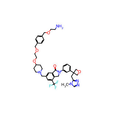 Cn1cnnc1CC1(c2cccc(N3Cc4c(cc(CN5CCC(OCCOCc6ccc(COCCN)cc6)CC5)cc4C(F)(F)F)C3=O)c2)COC1